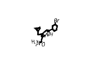 NC(=O)c1[nH]c(-c2cccc(Br)c2)cc1CC1CC1